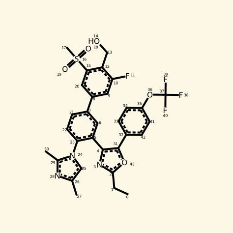 CCc1nc(-c2cc(-c3cc(F)c(CO)c(S(C)(=O)=O)c3)ccc2-n2cc(C)nc2C)c(-c2ccc(OC(F)(F)F)cc2)o1